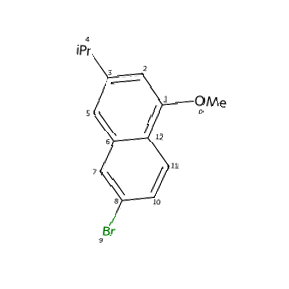 COc1cc(C(C)C)cc2cc(Br)ccc12